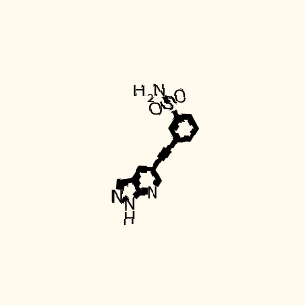 NS(=O)(=O)c1cccc(C#Cc2cnc3[nH]ncc3c2)c1